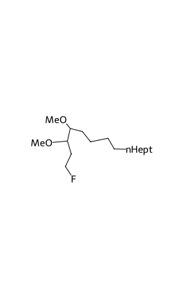 CCCCCCCCCCCC(OC)C(CCF)OC